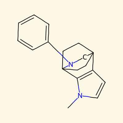 Cn1ccc2c1C13CCC2(CC1)CN3c1ccccc1